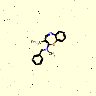 CCOC(=O)C1=C(N(C)Cc2ccccc2)Sc2ccccc2N=C1